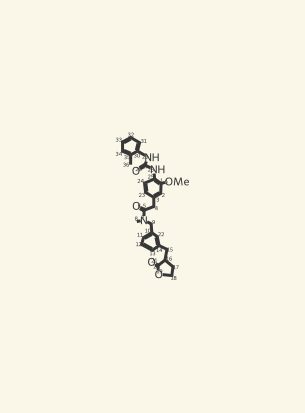 COc1cc(CC(=O)N(C)Cc2cccc(CC3CCOC3=O)c2)ccc1NC(=O)Nc1ccccc1C